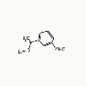 CCO[C](C)c1cccc(C=O)c1